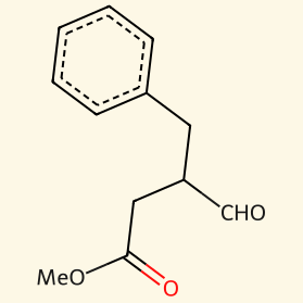 COC(=O)CC(C=O)Cc1ccccc1